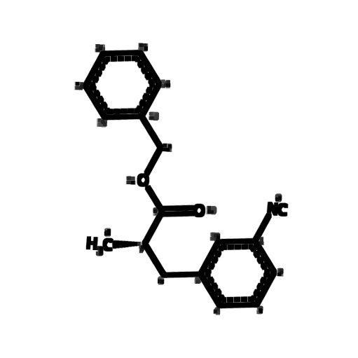 [C-]#[N+]c1cccc(C[C@H](C)C(=O)OCc2ccccc2)c1